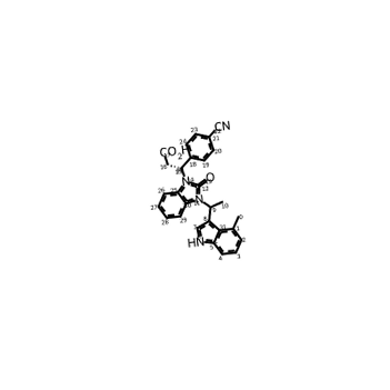 Cc1cccc2[nH]cc(C(C)n3c(=O)n([C@H](CC(=O)O)c4ccc(C#N)cc4)c4ccccc43)c12